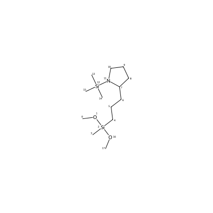 CO[Si](C)(CCCC1CCCN1[Si](C)(C)C)OC